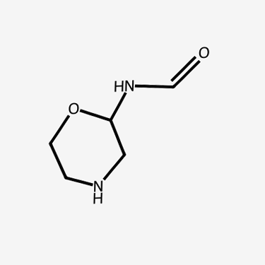 O=CNC1CNCCO1